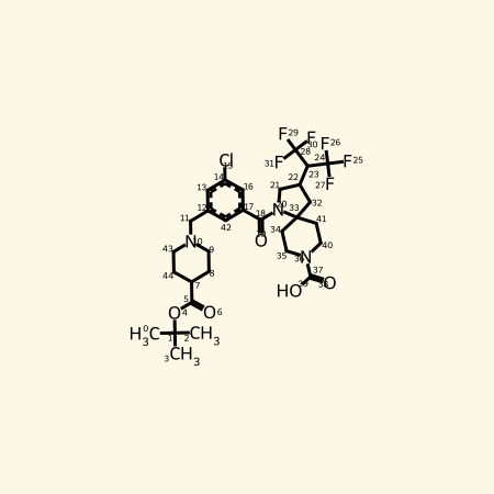 CC(C)(C)OC(=O)C1CCN(Cc2cc(Cl)cc(C(=O)N3CC(C(C(F)(F)F)C(F)(F)F)CC34CCN(C(=O)O)CC4)c2)CC1